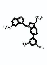 Nc1cc(N)cc(-c2ccc3c(CC(=O)O)cn(Cc4csc5ccc(OC(F)(F)F)cc45)c3c2)c1